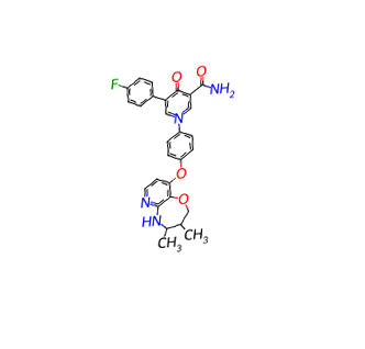 CC1COc2c(Oc3ccc(-n4cc(C(N)=O)c(=O)c(-c5ccc(F)cc5)c4)cc3)ccnc2NC1C